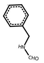 O=CNCc1cc[c]cc1